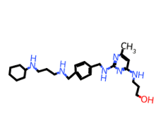 Cc1cc(NCCCO)nc(NCc2ccc(CNCCCNC3CCCCC3)cc2)n1